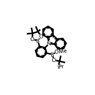 COB(OC(C)(C)C(C)C)c1cccc(B2OC(C)(C)C(C)(C)O2)c1-n1c2ccccc2c2ccccc21